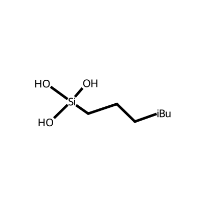 CCC(C)CCC[Si](O)(O)O